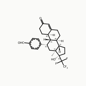 C[C@]12C[C@H](c3ccc(C=O)cc3)[C@H]3[C@@H](CCC4=CC(=O)CC[C@@H]43)[C@@H]1CC[C@@]2(O)C(F)(F)C(F)(F)F